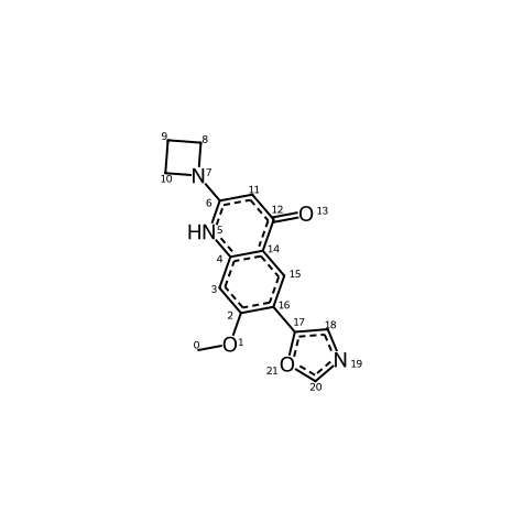 COc1cc2[nH]c(N3CCC3)cc(=O)c2cc1-c1cnco1